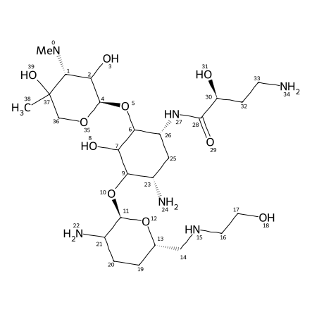 CN[C@@H]1C(O)[C@@H](OC2C(O)C(O[C@H]3O[C@H](CNCCO)CCC3N)[C@@H](N)C[C@H]2NC(=O)[C@@H](O)CCN)OCC1(C)O